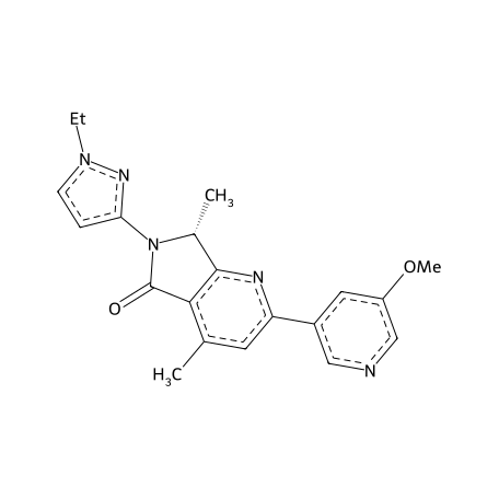 CCn1ccc(N2C(=O)c3c(C)cc(-c4cncc(OC)c4)nc3[C@H]2C)n1